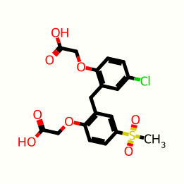 CS(=O)(=O)c1ccc(OCC(=O)O)c(Cc2cc(Cl)ccc2OCC(=O)O)c1